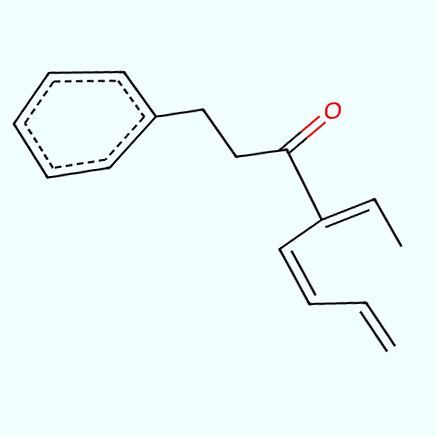 C=C/C=C\C(=C/C)C(=O)CCc1ccccc1